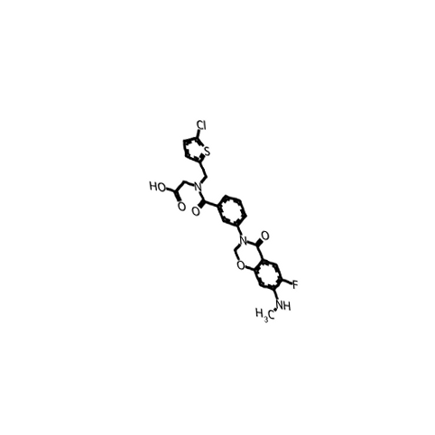 CNc1cc2c(cc1F)C(=O)N(c1cccc(C(=O)N(CC(=O)O)Cc3ccc(Cl)s3)c1)CO2